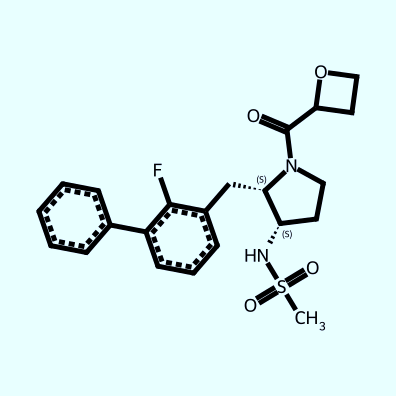 CS(=O)(=O)N[C@H]1CCN(C(=O)C2CCO2)[C@H]1Cc1cccc(-c2ccccc2)c1F